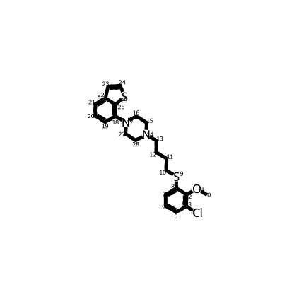 COc1c(Cl)cccc1SCCCCN1CCN(c2cccc3ccsc23)CC1